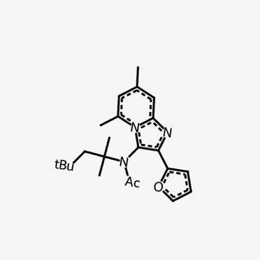 CC(=O)N(c1c(-c2ccco2)nc2cc(C)cc(C)n12)C(C)(C)CC(C)(C)C